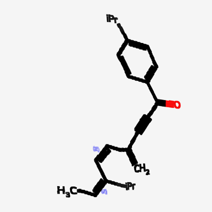 C=C(C#CC(=O)c1ccc(C(C)C)cc1)/C=C\C(=C/C)C(C)C